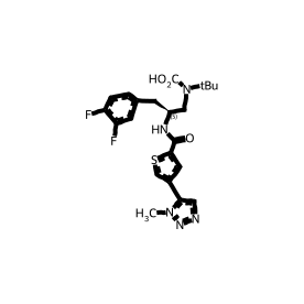 Cn1nncc1-c1csc(C(=O)N[C@@H](Cc2ccc(F)c(F)c2)CN(C(=O)O)C(C)(C)C)c1